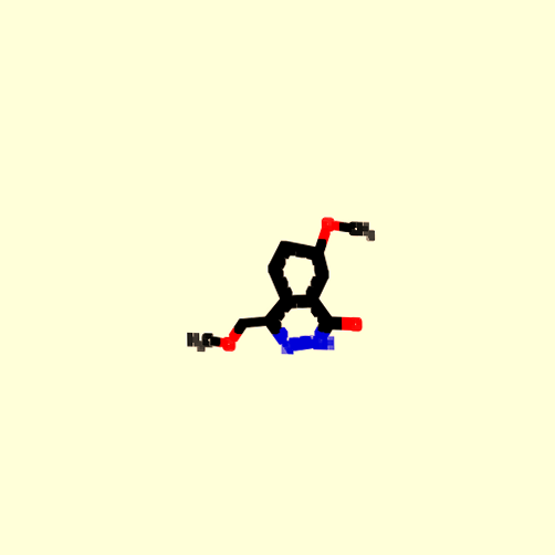 COCc1n[nH]c(=O)c2cc(OC)ccc12